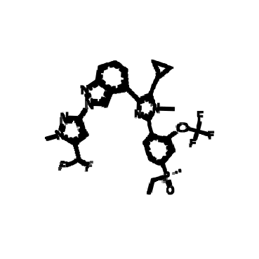 CC[P@](C)(=O)c1ccc(-c2nc(-c3cccc4nn(-c5cc(C(F)F)n(C)n5)cc34)c(C3CC3)n2C)c(OC(F)(F)F)c1